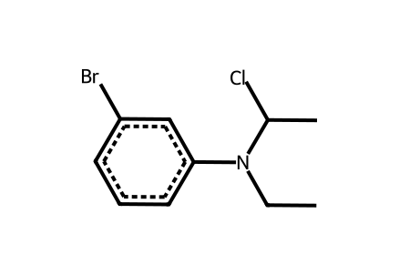 CCN(c1cccc(Br)c1)C(C)Cl